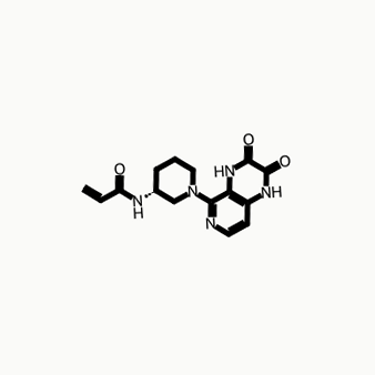 C=CC(=O)N[C@@H]1CCCN(c2nccc3[nH]c(=O)c(=O)[nH]c23)C1